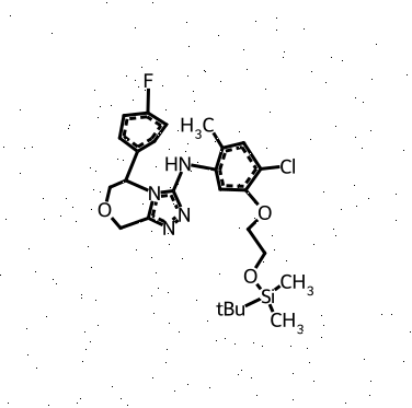 Cc1cc(Cl)c(OCCO[Si](C)(C)C(C)(C)C)cc1Nc1nnc2n1C(c1ccc(F)cc1)COC2